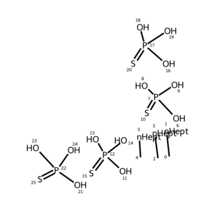 CCCCCCCC.CCCCCCCC.CCCCCCCC.OP(O)(O)=S.OP(O)(O)=S.OP(O)(O)=S.OP(O)(O)=S